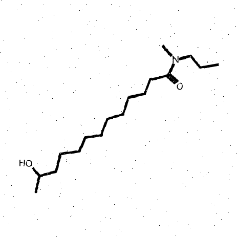 CCCN(C)C(=O)CCCCCCCCCCC(C)O